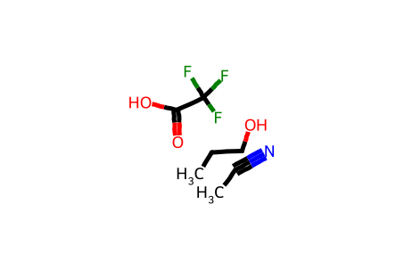 CC#N.CCCO.O=C(O)C(F)(F)F